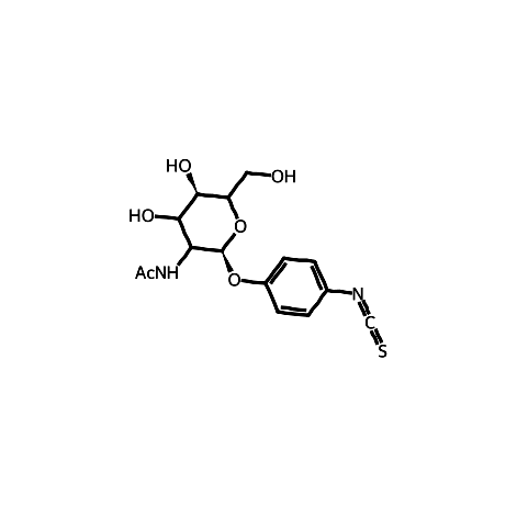 CC(=O)NC1C(O)[C@@H](O)C(CO)O[C@H]1Oc1ccc(N=C=S)cc1